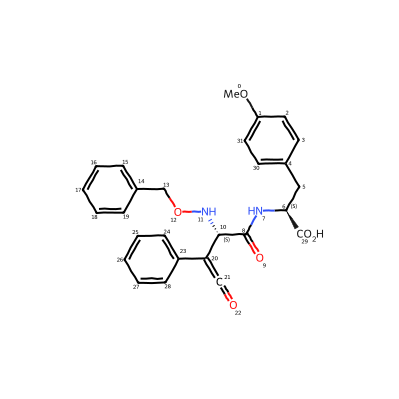 COc1ccc(C[C@H](NC(=O)[C@@H](NOCc2ccccc2)C(=C=O)c2ccccc2)C(=O)O)cc1